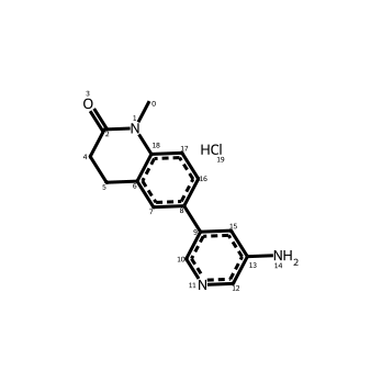 CN1C(=O)CCc2cc(-c3cncc(N)c3)ccc21.Cl